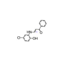 O=C(/C=C/Nc1cc(Cl)ccc1O)c1ccccc1